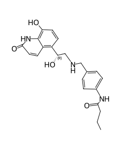 CCCC(=O)Nc1ccc(CNC[C@H](O)c2ccc(O)c3[nH]c(=O)ccc23)cc1